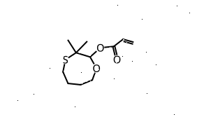 C=CC(=O)OC1OCCCCSC1(C)C